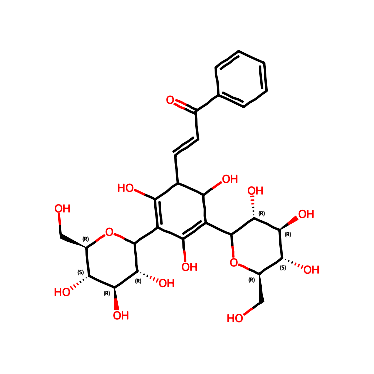 O=C(C=CC1C(O)=C(C2O[C@H](CO)[C@@H](O)[C@H](O)[C@H]2O)C(O)=C(C2O[C@H](CO)[C@@H](O)[C@H](O)[C@H]2O)C1O)c1ccccc1